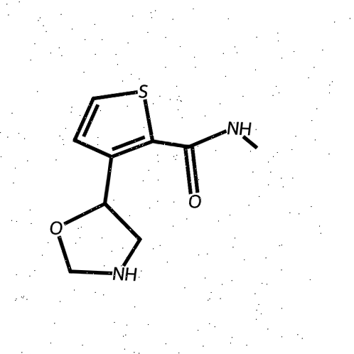 CNC(=O)c1sccc1C1CNCO1